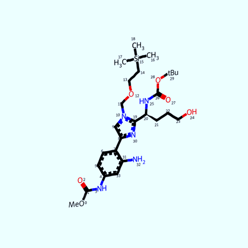 COC(=O)Nc1ccc(-c2cn(COCC[Si](C)(C)C)c([C@H](CCCO)NC(=O)OC(C)(C)C)n2)c(N)c1